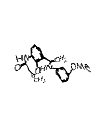 C=C(Nc1cccc(OC)c1)c1cccc2c1O[C@@H](C)CC(=O)N2